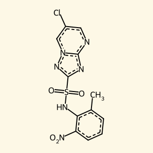 Cc1cccc([N+](=O)[O-])c1NS(=O)(=O)c1nc2ncc(Cl)cn2n1